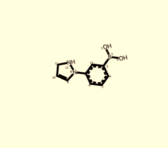 OB(O)c1cccc(N2C=CCN2)c1